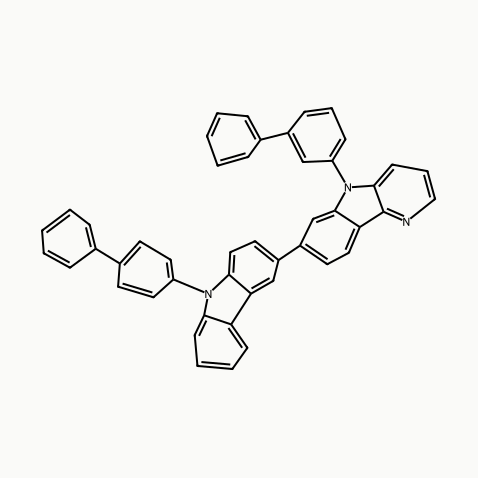 c1ccc(-c2ccc(-n3c4ccccc4c4cc(-c5ccc6c7ncccc7n(-c7cccc(-c8ccccc8)c7)c6c5)ccc43)cc2)cc1